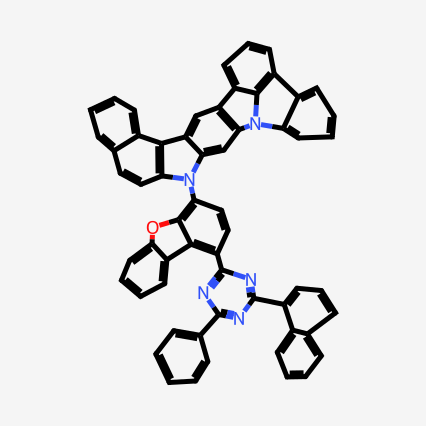 c1ccc(-c2nc(-c3cccc4ccccc34)nc(-c3ccc(-n4c5cc6c(cc5c5c7ccccc7ccc54)c4cccc5c7ccccc7n6c54)c4oc5ccccc5c34)n2)cc1